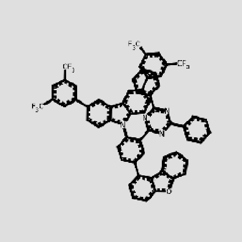 FC(F)(F)c1cc(-c2ccc3c(c2)c2cc(-c4cc(C(F)(F)F)cc(C(F)(F)F)c4)ccc2n3-c2ccc(-c3cccc4oc5ccccc5c34)cc2-c2nc(-c3ccccc3)nc(-c3ccccc3)n2)cc(C(F)(F)F)c1